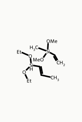 C=C[Si](C)(OC)OC.CC=C[SiH](OCC)OCC